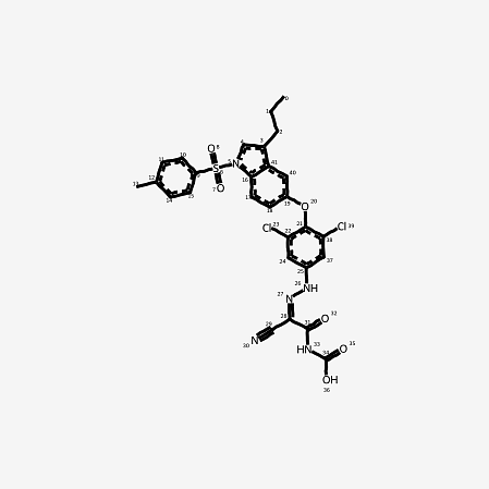 CCCc1cn(S(=O)(=O)c2ccc(C)cc2)c2ccc(Oc3c(Cl)cc(N/N=C(/C#N)C(=O)NC(=O)O)cc3Cl)cc12